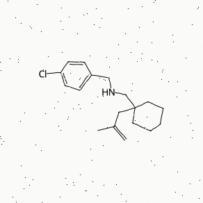 C=C(C)CC1(CNCc2ccc(Cl)cc2)CCCCC1